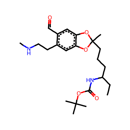 CCC(CCCC1(C)Oc2cc(C=O)c(CCNC)cc2O1)NC(=O)OC(C)(C)C